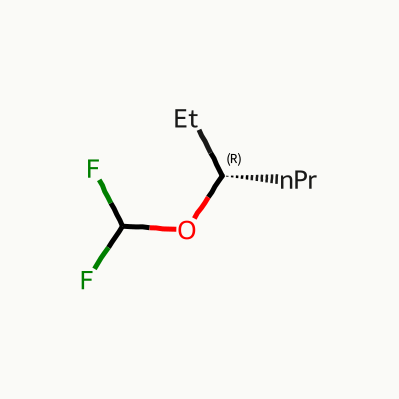 CCC[C@@H](CC)OC(F)F